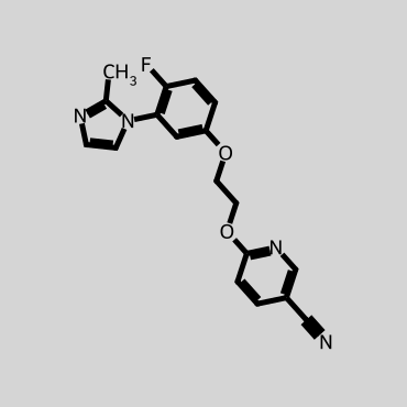 Cc1nccn1-c1cc(OCCOc2ccc(C#N)cn2)ccc1F